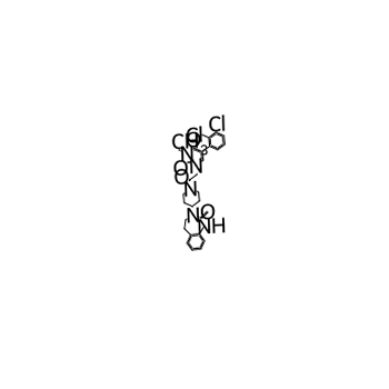 CCn1c(=O)c(-c2cccc(Cl)c2Cl)cn(CC(=O)N2CCC(N3CCc4ccccc4NC3=O)CC2)c1=O